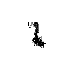 NC1CCCN(CCOCCOCCNc2cccc3c2C(=O)N(C2CCC(=O)NC2=O)C3=O)C1